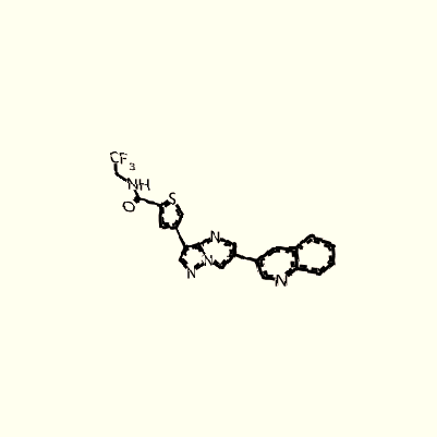 O=C(NCC(F)(F)F)c1cc(-c2cnn3cc(-c4cnc5ccccc5c4)cnc23)cs1